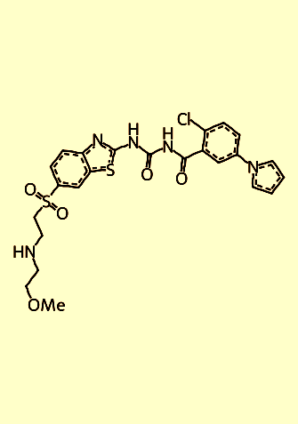 COCCNCCS(=O)(=O)c1ccc2nc(NC(=O)NC(=O)c3cc(-n4cccc4)ccc3Cl)sc2c1